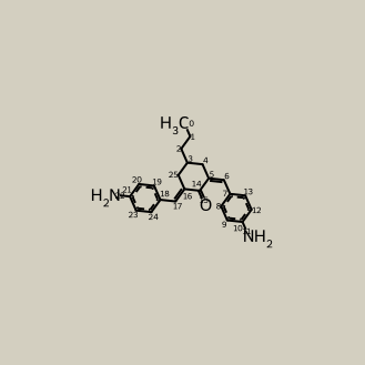 CCCC1CC(=Cc2ccc(N)cc2)C(=O)C(=Cc2ccc(N)cc2)C1